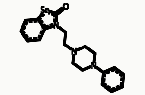 O=c1[se]c2ccccc2n1CCN1CCN(c2ccccc2)CC1